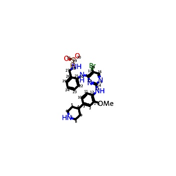 COc1cc(C2CCNCC2)ccc1Nc1ncc(Br)c(Nc2ccccc2CN[SH](=O)=O)n1